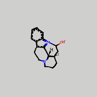 CC[C@]12CCCN3CCc4c(n(c5ccccc45)C(O)C1)[C@@H]32